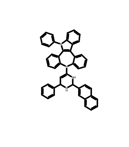 C1=C(N2c3ccccc3-c3c(n(-c4ccccc4)c4ccccc34)-c3ccccc32)NC(c2ccc3ccccc3c2)NC1c1ccccc1